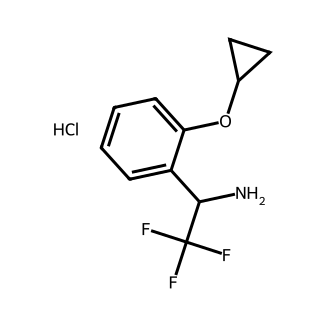 Cl.NC(c1ccccc1OC1CC1)C(F)(F)F